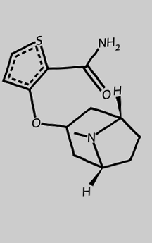 CN1[C@@H]2CC[C@H]1CC(Oc1ccsc1C(N)=O)C2